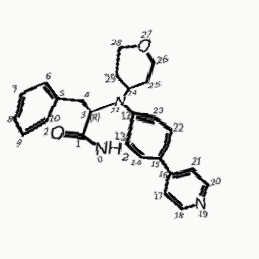 NC(=O)[C@@H](Cc1ccccc1)N(c1ccc(-c2ccncc2)cc1)C1CCOCC1